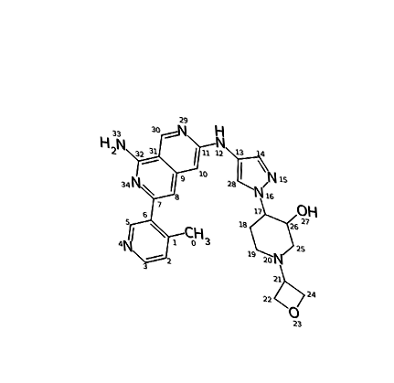 Cc1ccncc1-c1cc2cc(Nc3cnn(C4CCN(C5COC5)CC4O)c3)ncc2c(N)n1